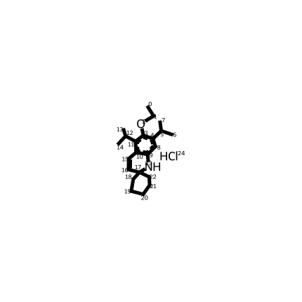 CCOc1c(C(C)C)cc2c(c1C(C)C)C=CC1(CCCCC1)N2.Cl